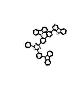 c1ccc(-c2nc(-c3cccc(-n4c5ccccc5c5ccccc54)c3)nc(-c3ccc(-c4ccc(-c5cccc6c5oc5ccccc56)cc4)c(-n4c5ccccc5c5ccccc54)c3)n2)cc1